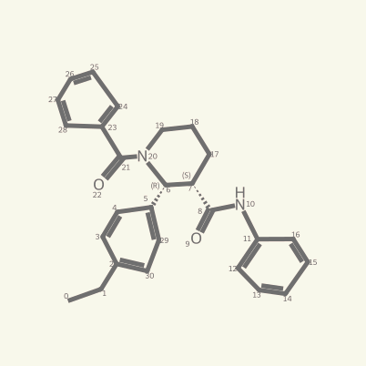 CCc1ccc([C@H]2[C@@H](C(=O)Nc3ccccc3)CCCN2C(=O)c2ccccc2)cc1